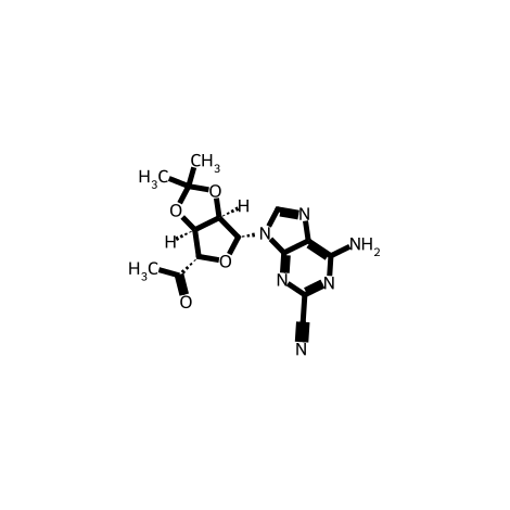 CC(=O)[C@H]1O[C@@H](n2cnc3c(N)nc(C#N)nc32)[C@@H]2OC(C)(C)O[C@@H]21